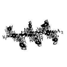 N=C(NC(=N)N(CCN)Cc1ccc(CN(CCCCN(Cc2ccc(CN(CCCCN(Cc3ccc(CN(CCN)C(=N)NC(=N)Nc4ccc(Cl)cc4)cc3)C(=N)NC(=N)Nc3ccc(Cl)cc3)C(=N)NC(=N)Nc3ccc(Cl)cc3)cc2)C(=N)NC(=N)Nc2ccc(Cl)cc2)C(=N)NC(=N)Nc2ccc(Cl)cc2)cc1)Nc1ccc(Cl)cc1